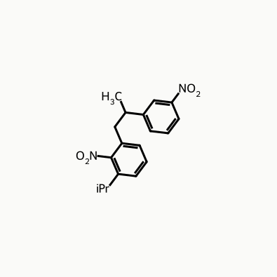 CC(C)c1cccc(CC(C)c2cccc([N+](=O)[O-])c2)c1[N+](=O)[O-]